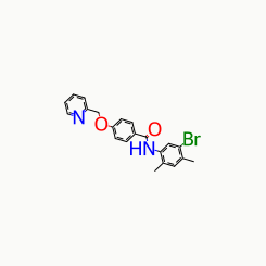 Cc1cc(C)c(NC(=O)c2ccc(OCc3ccccn3)cc2)cc1Br